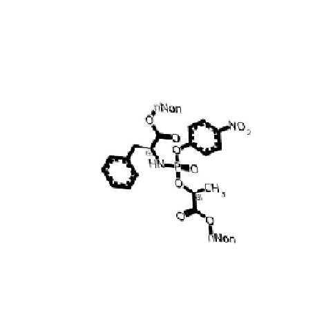 CCCCCCCCCOC(=O)[C@H](Cc1ccccc1)NP(=O)(Oc1ccc([N+](=O)[O-])cc1)O[C@@H](C)C(=O)OCCCCCCCCC